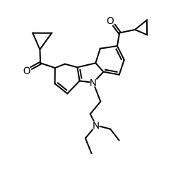 CCN(CC)CCN1C2=CC=C(C(=O)C3CC3)CC2C2=C1C=CC(C(=O)C1CC1)C2